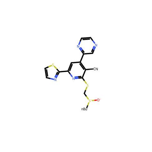 CCCC[S+]([O-])CSc1nc(-c2nccs2)cc(-c2cnccn2)c1C#N